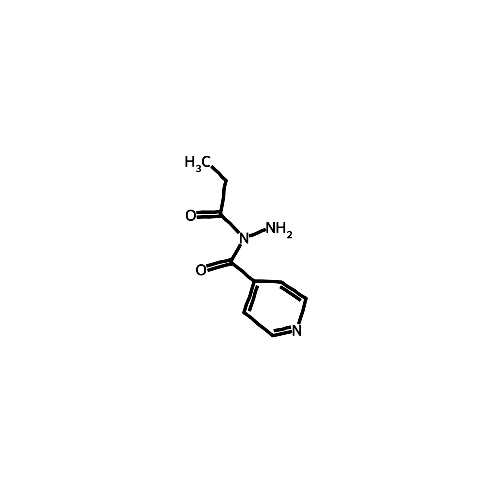 CCC(=O)N(N)C(=O)c1ccncc1